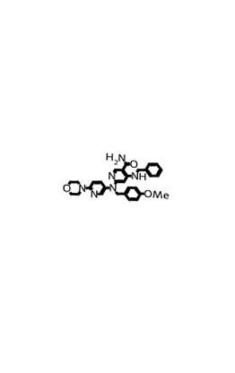 COc1ccc(CN(c2ccc(N3CCOCC3)nc2)c2cc(NCc3ccccc3)c(C(N)=O)cn2)cc1